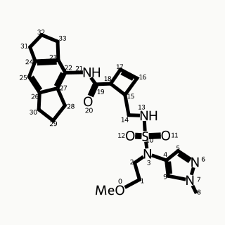 COCCN(c1cnn(C)c1)S(=O)(=O)NCC1C=CC1C(=O)Nc1c2c(cc3c1CCC3)CCC2